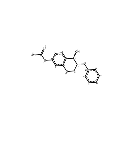 CC(C)C(=O)Oc1ccc2c(c1)OC[C@@H](Cc1ccccc1)[C@@H]2O